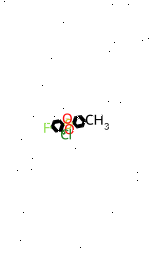 Cc1ccc(S(=O)(=O)c2ccc(F)cc2Cl)cc1